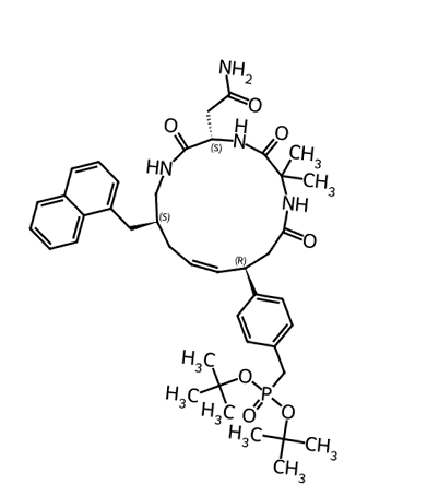 CC(C)(C)OP(=O)(Cc1ccc([C@H]2C=CC[C@@H](Cc3cccc4ccccc34)CNC(=O)[C@H](CC(N)=O)NC(=O)C(C)(C)NC(=O)C2)cc1)OC(C)(C)C